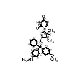 COc1ccc(C(OC[C@H]2O[C@@H](n3ccc(=O)[nH]c3=O)[C@](C)(F)[C@@H]2C)(c2ccccc2)c2ccc(OC)cc2)cc1